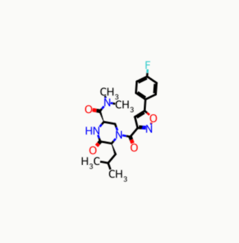 CC(C)C[C@H]1C(=O)N[C@@H](C(=O)N(C)C)CN1C(=O)c1cc(-c2ccc(F)cc2)on1